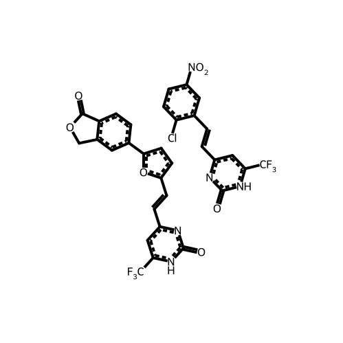 O=C1OCc2cc(-c3ccc(C=Cc4cc(C(F)(F)F)[nH]c(=O)n4)o3)ccc21.O=c1nc(C=Cc2cc([N+](=O)[O-])ccc2Cl)cc(C(F)(F)F)[nH]1